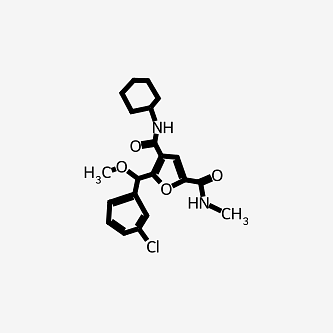 CNC(=O)c1cc(C(=O)NC2CCCCC2)c(C(OC)c2cccc(Cl)c2)o1